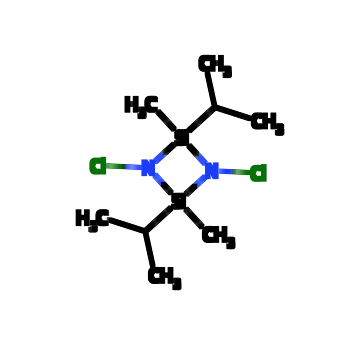 CC(C)[Si]1(C)N(Cl)[Si](C)(C(C)C)N1Cl